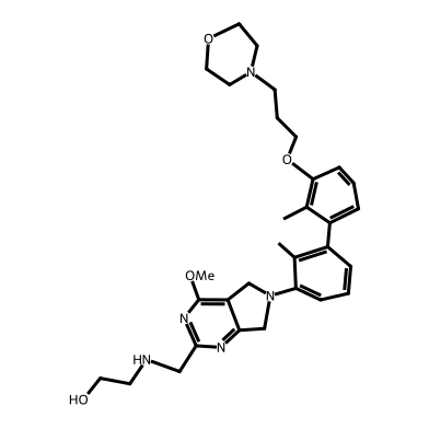 COc1nc(CNCCO)nc2c1CN(c1cccc(-c3cccc(OCCCN4CCOCC4)c3C)c1C)C2